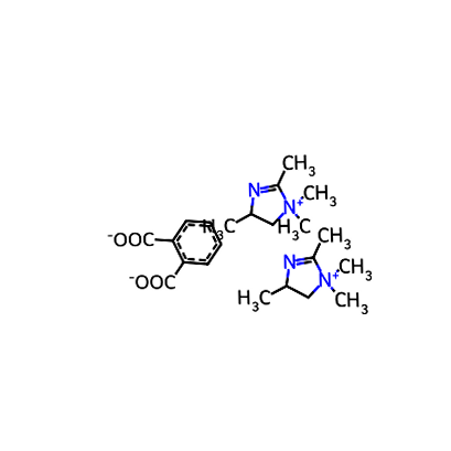 CC1=NC(C)C[N+]1(C)C.CC1=NC(C)C[N+]1(C)C.O=C([O-])c1ccccc1C(=O)[O-]